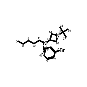 Brc1ccncc1.CCCCCNC1CN(C(C)(C)C)C1